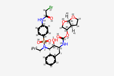 CC(C)CN(C[C@@H](O)[C@H](Cc1ccccc1)NC(=O)O[C@H]1CO[C@H]2OCC[C@H]21)S(=O)(=O)c1ccc(NC(=O)CBr)cc1